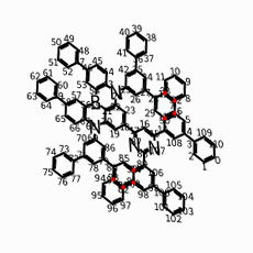 c1ccc(-c2cc(-c3ccccc3)cc(-c3cc(-c4cc5c6c(c4)N(c4cc(-c7ccccc7)cc(-c7ccccc7)c4)c4ccc(-c7ccccc7)cc4B6c4cc(-c6ccccc6)ccc4N5c4cc(-c5ccccc5)cc(-c5ccccc5)c4)nc(-c4cc(-c5ccccc5)cc(-c5ccccc5)c4)n3)c2)cc1